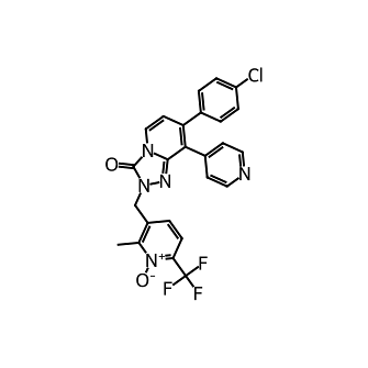 Cc1c(Cn2nc3c(-c4ccncc4)c(-c4ccc(Cl)cc4)ccn3c2=O)ccc(C(F)(F)F)[n+]1[O-]